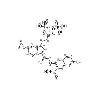 NC(=O)c1cc2cc(Cl)ccc2cc1OCC(=O)c1cn(CC[C@H](COP(=O)(O)O)O[PH](O)(O)O)c2cc(C3CC3)ccc12